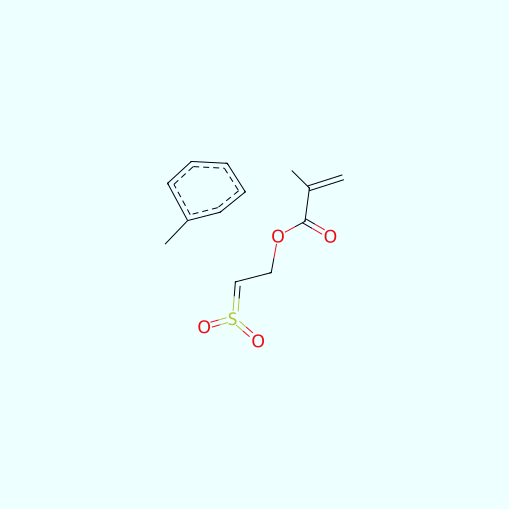 C=C(C)C(=O)OCC=S(=O)=O.Cc1ccccc1